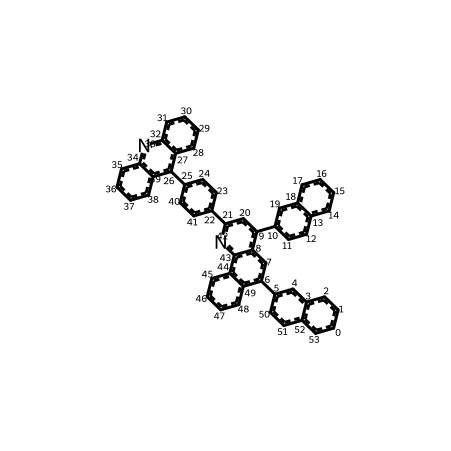 c1ccc2cc(-c3cc4c(-c5ccc6ccccc6c5)cc(-c5ccc(-c6c7ccccc7nc7ccccc67)cc5)nc4c4ccccc34)ccc2c1